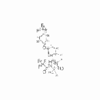 O=C(NC1(C(=O)N2CCc3ccc(Oc4ccc(C(F)(F)F)cc4)cc3C2)CC1)C(F)(F)F